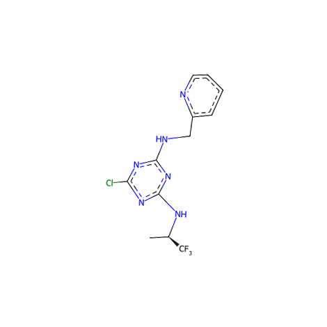 C[C@@H](Nc1nc(Cl)nc(NCc2ccccn2)n1)C(F)(F)F